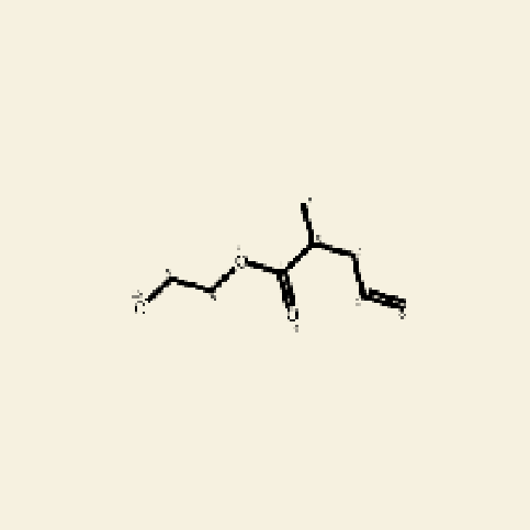 C=CCC(C)C(=O)OCCO